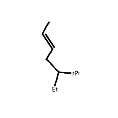 CC=CCC(CC)CCC